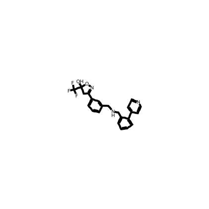 OC1(C(F)(F)F)CC(c2cccc(CNCc3ccccc3-c3ccncc3)c2)=NO1